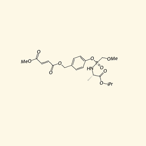 COCP(=O)(N[C@@H](C)C(=O)OC(C)C)Oc1ccc(COC(=O)/C=C/C(=O)OC)cc1